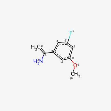 C=C(N)c1cc(F)cc(OC)c1